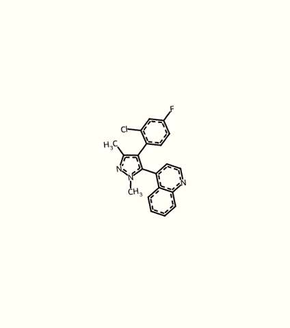 Cc1nn(C)c(-c2ccnc3ccccc23)c1-c1ccc(F)cc1Cl